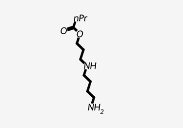 CCCC(=O)OCCCNCCCCN